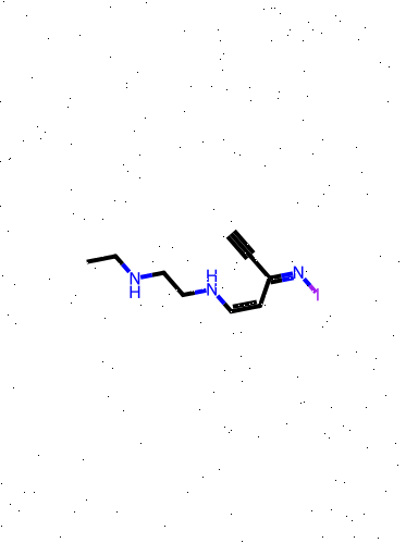 C#CC(/C=C\NCCNCC)=N/I